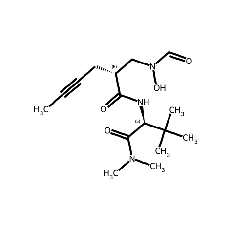 CC#CC[C@H](CN(O)C=O)C(=O)N[C@H](C(=O)N(C)C)C(C)(C)C